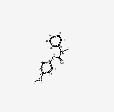 COc1ccc(OC(=S)N(C)c2ccccc2)cc1